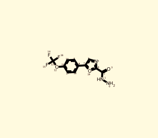 NNC(=O)c1ncc(-c2ccc(OC(F)(F)F)cc2)o1